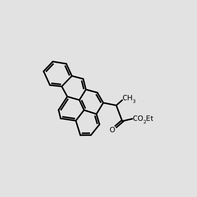 CCOC(=O)C(=O)C(C)c1cc2cc3ccccc3c3ccc4cccc1c4c23